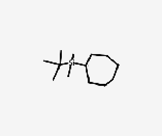 CC(C)(C)[Si](C)(C)[C]1CCCCCC1